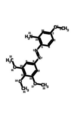 COc1ccc(/N=N/c2cc(OC)c(OC)c(OC)c2)c(N)c1